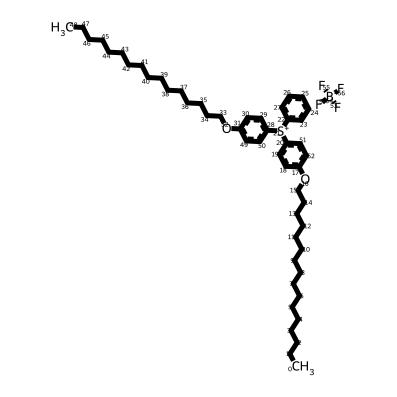 CCCCCCCCCCCCCCCCOc1ccc([S+](c2ccccc2)c2ccc(OCCCCCCCCCCCCCCCC)cc2)cc1.F[B-](F)(F)F